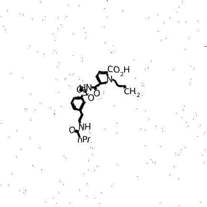 C=CCCN1CC(C(=O)NS(=O)(=O)c2cccc(CCNC(=O)CCC)c2)=CC=C1C(=O)O